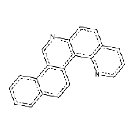 c1ccc2c(c1)ccc1c2cnc2ccc3cccnc3c21